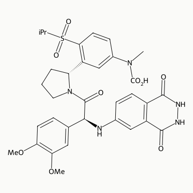 COc1ccc([C@H](Nc2ccc3c(=O)[nH][nH]c(=O)c3c2)C(=O)N2CCC[C@@H]2c2cc(N(C)C(=O)O)ccc2S(=O)(=O)C(C)C)cc1OC